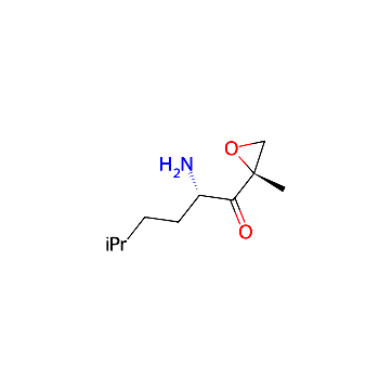 CC(C)CC[C@H](N)C(=O)[C@@]1(C)CO1